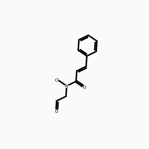 O=[C]CN(Cl)C(=O)/C=C/c1ccccc1